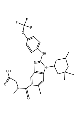 CC1CC(n2c(Nc3ccc(OC(F)(F)F)cc3)nc3cc(C(=O)N(C)CC(=O)O)c(F)cc32)CC(C)(C)C1